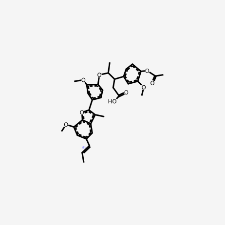 C/C=C/c1cc(OC)c2oc(-c3ccc(OC(C)C(CC(=O)O)c4ccc(OC(C)=O)c(OC)c4)c(OC)c3)c(C)c2c1